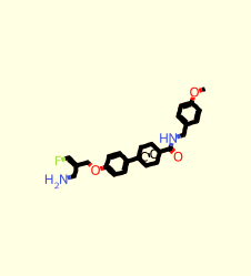 COc1ccc(CNC(=O)C23CCC(c4ccc(OC/C(=C/F)CN)cc4)(CC2)CC3)cc1